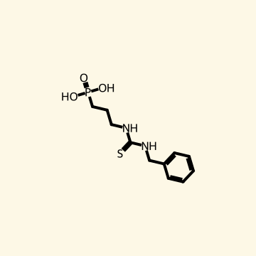 O=P(O)(O)CCCNC(=S)NCc1ccccc1